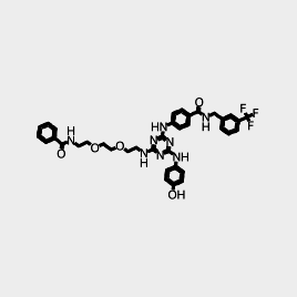 O=C(NCCOCCOCCNc1nc(Nc2ccc(O)cc2)nc(Nc2ccc(C(=O)NCc3cccc(C(F)(F)F)c3)cc2)n1)c1ccccc1